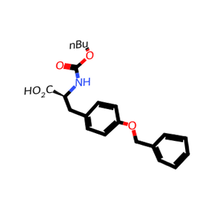 CCCCOC(=O)N[C@@H](Cc1ccc(OCc2ccccc2)cc1)C(=O)O